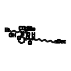 CCCCCCCCCCCCCCCCCNC(=O)O[C@@H]1CCCO[C@H]1N(C(=O)OC)C(CCC(O)CC)C(=O)OCC